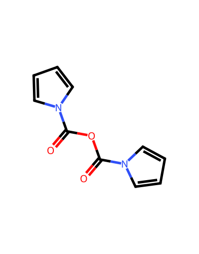 O=C(OC(=O)n1cccc1)n1cccc1